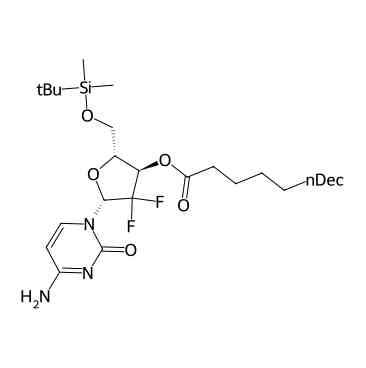 CCCCCCCCCCCCCCC(=O)O[C@@H]1[C@@H](CO[Si](C)(C)C(C)(C)C)O[C@@H](n2ccc(N)nc2=O)C1(F)F